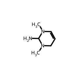 CN1C=CCN(C)C1N